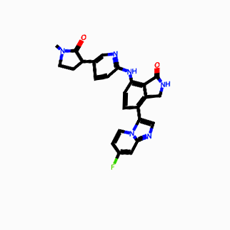 CN1CCC(c2ccc(Nc3ccc(-c4cnc5cc(F)ccn45)c4c3C(=O)NC4)nc2)C1=O